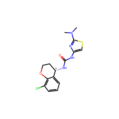 CN(C)c1nc(NC(=O)N[C@H]2CCOc3c(Cl)cccc32)cs1